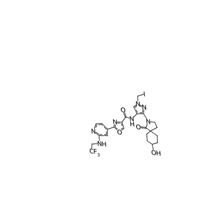 O=C(Nc1cn(CI)nc1N1CCC2(CCC(O)CC2)C1=O)c1coc(-c2ccnc(NCC(F)(F)F)c2)n1